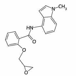 Cn1ccc2c(NC(=O)c3ccccc3OCC3CO3)cccc21